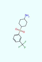 NC1CCC(S(=O)(=O)c2cccc(C(F)(F)F)c2)CC1